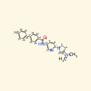 CN(C)[C@@H]1CCN(c2ccc(NC(=O)c3ccc(-c4ccc(F)cc4)cc3)cn2)C1